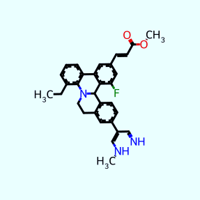 CCc1cccc2c1N1CCc3cc(/C(C=N)=C/NC)ccc3C1c1c(F)cc(/C=C/C(=O)OC)cc1-2